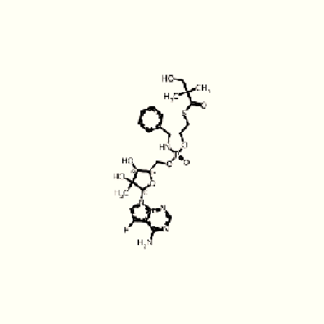 CC(C)(CO)C(=O)SCCOP(=O)(NCc1ccccc1)OC[C@H]1O[C@@H](n2cc(F)c3c(N)ncnc32)C(C)(O)[C@H]1O